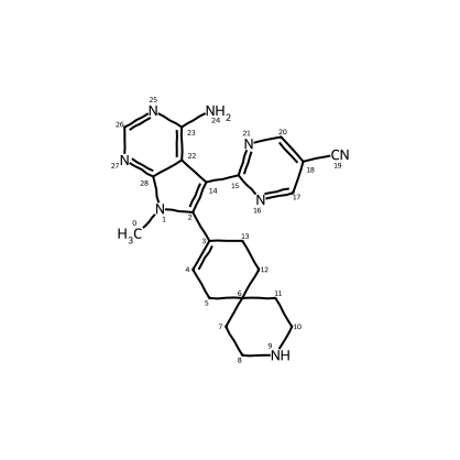 Cn1c(C2=CCC3(CCNCC3)CC2)c(-c2ncc(C#N)cn2)c2c(N)ncnc21